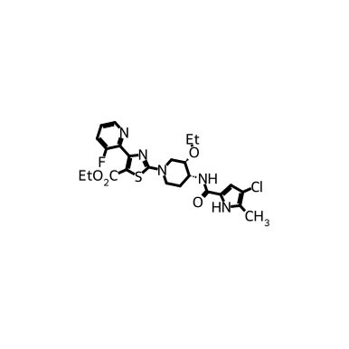 CCOC(=O)c1sc(N2CC[C@@H](NC(=O)c3cc(Cl)c(C)[nH]3)[C@@H](OCC)C2)nc1-c1ncccc1F